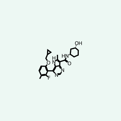 Cc1ccc(OCC2CC2)c(-c2ncnc3c(C(=O)N[C@H]4CCC[C@@H](O)C4)c(C)[nH]c23)c1F